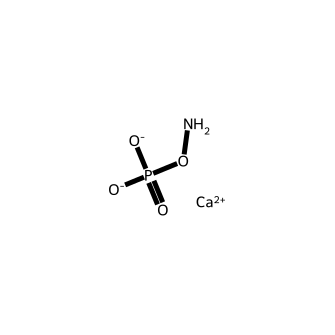 NOP(=O)([O-])[O-].[Ca+2]